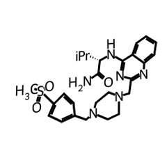 CC(C)[C@H](Nc1nc(CN2CCN(Cc3ccc(S(C)(=O)=O)cc3)CC2)nc2ccccc12)C(N)=O